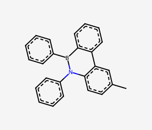 Cc1ccc2c(c1)-c1ccccc1B(c1ccccc1)N2c1ccccc1